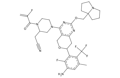 C=C(F)C(=O)N1CCN(c2nc(OCC34CCCN3CCC4)nc3c2COC(c2c(F)c(N)cc(C)c2C(F)(F)F)C3)CC1CC#N